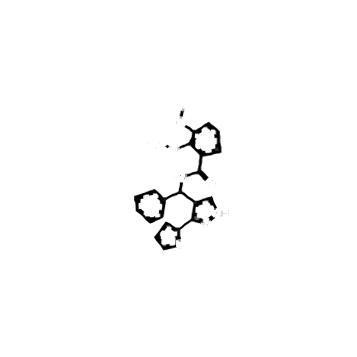 COc1cccc(C(=O)NC(c2ccccc2)c2c[nH]nc2-c2cccs2)c1OC